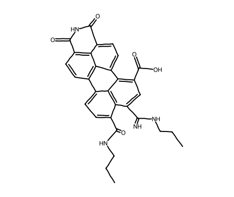 CCCNC(=N)c1cc(C(=O)O)c2c3ccc4c5c(ccc(c6ccc(C(=O)NCCC)c1c62)c53)C(=O)NC4=O